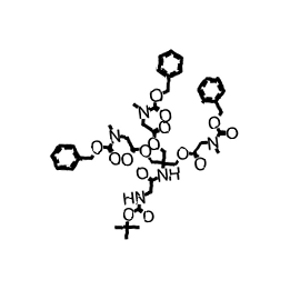 CN(CC(=O)OCC(COC(=O)CN(C)C(=O)OCc1ccccc1)(COC(=O)CN(C)C(=O)OCc1ccccc1)NC(=O)CNC(=O)OC(C)(C)C)C(=O)OCc1ccccc1